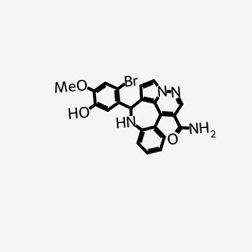 COc1cc(Br)c(C2Nc3ccccc3-c3c(C(N)=O)cnn4ccc2c34)cc1O